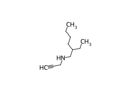 C#CCNCC(CC)CCCC